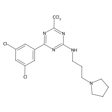 Clc1cc(Cl)cc(-c2nc(NCCCN3CCCC3)nc(C(Cl)(Cl)Cl)n2)c1